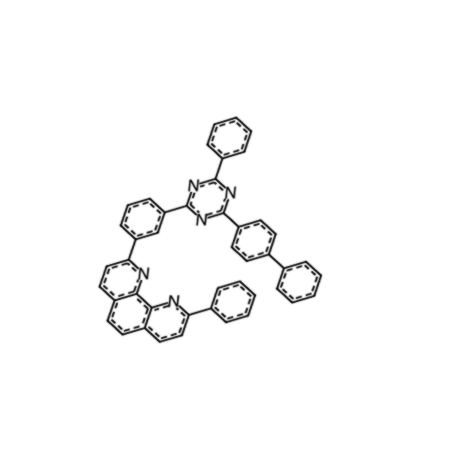 c1ccc(-c2ccc(-c3nc(-c4ccccc4)nc(-c4cccc(-c5ccc6ccc7ccc(-c8ccccc8)nc7c6n5)c4)n3)cc2)cc1